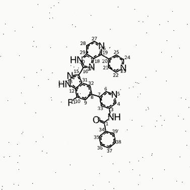 O=C(Nc1cncc(-c2cc(F)c3[nH]nc(-c4nc5c(-c6ccncc6)nccc5[nH]4)c3c2)c1)c1ccccc1